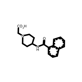 O=C(O)CN1CCC(NC(=O)c2cccc3ccccc23)CC1